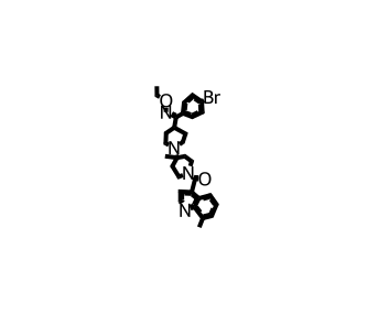 CCON=C(c1ccc(Br)cc1)C1CCN(C2(C)CCN(C(=O)c3ccnc4c(C)cccc34)CC2)CC1